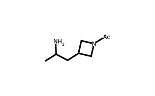 CC(=O)N1CC(CC(C)N)C1